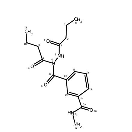 CCCC(=O)NN(C(=O)CCC)C(=O)c1cccc(C(=O)NN)c1